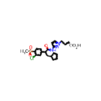 CS(=O)(=O)c1ccc(C(CC2CCCC2)C(=O)Nc2ccn(CCCC(=O)O)n2)cc1Cl